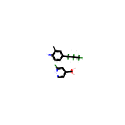 Cc1cc(C(F)(F)C(F)(F)C(F)(F)F)ccc1N.O=C(O)c1ccnc(Cl)c1